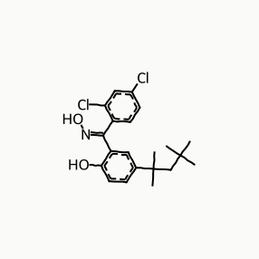 CC(C)(C)CC(C)(C)c1ccc(O)c(C(=NO)c2ccc(Cl)cc2Cl)c1